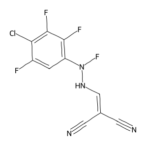 N#CC(C#N)=CNN(F)c1cc(F)c(Cl)c(F)c1F